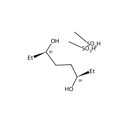 CC[C@@H](O)CC[C@H](O)CC.CS(=O)(=O)O.CS(=O)(=O)O